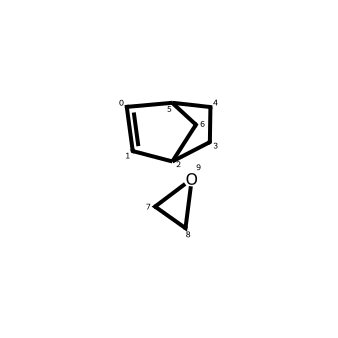 C1=CC2CCC1C2.C1CO1